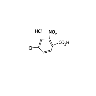 Cl.O=C(O)c1ccc(Cl)cc1[N+](=O)[O-]